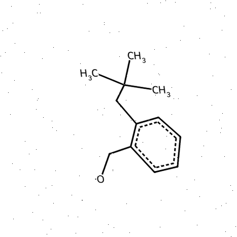 CC(C)(C)Cc1ccccc1C[O]